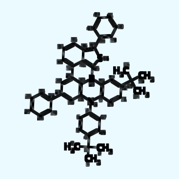 CC(C)(C)c1ccc(N2c3ccc(C(C)(C)C)cc3B3c4c(cc(-c5ccccc5)cc42)-c2cccc4c(-c5ccccc5)sc3c24)cc1